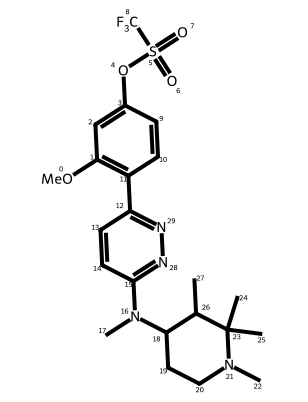 COc1cc(OS(=O)(=O)C(F)(F)F)ccc1-c1ccc(N(C)C2CCN(C)C(C)(C)C2C)nn1